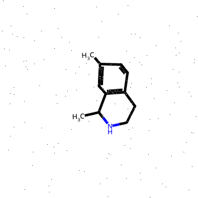 Cc1ccc2c(c1)C(C)NCC2